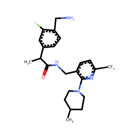 CC1CCN(c2nc(C(F)(F)F)ccc2CNC(=O)C(C)c2ccc(CN)c(F)c2)CC1